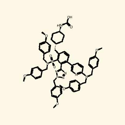 COc1ccc(CN(Cc2ccc(OC)cc2)c2ccc(-c3ccc(C[C@H]4CC[C@H](NC(=O)O)CC4)c(S(=O)(=O)N(Cc4ccc(OC)cc4)Cc4ccc(OC)cc4)c3-c3nnn(Cc4ccc(OC)cc4)n3)cn2)cc1